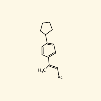 CC(=O)C=C(C)c1ccc(C2CCCC2)cc1